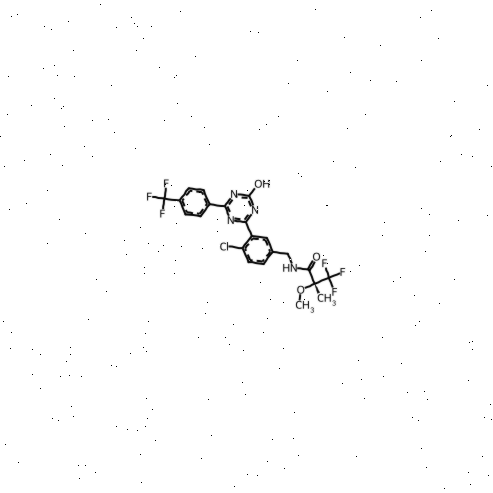 CO[C@](C)(C(=O)NCc1ccc(Cl)c(-c2nc(O)nc(-c3ccc(C(F)(F)F)cc3)n2)c1)C(F)(F)F